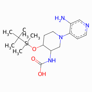 CC(C)(C)[Si](C)(C)OC1CCN(c2ccncc2N)CC1NC(=O)O